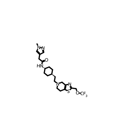 Cn1cc(CC(=O)N[C@H]2CC[C@H](CCN3CCc4sc(COC(F)(F)F)nc4C3)CC2)cn1